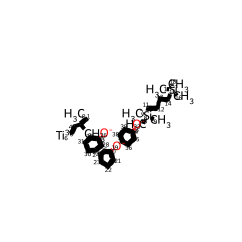 CC=C(C)C=[CH][Ti+3].C[Si](C)(C)C=CC=C[Si](C)(C)C.[O-]c1ccccc1.[O-]c1ccccc1.[O-]c1ccccc1